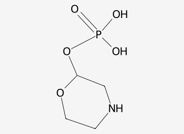 O=P(O)(O)OC1CNCCO1